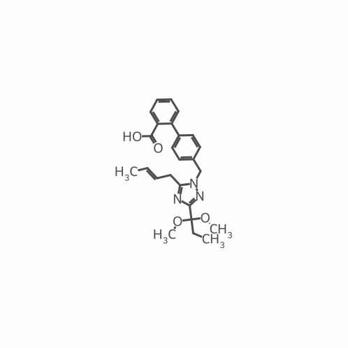 CC=CCc1nc(C(CC)(OC)OC)nn1Cc1ccc(-c2ccccc2C(=O)O)cc1